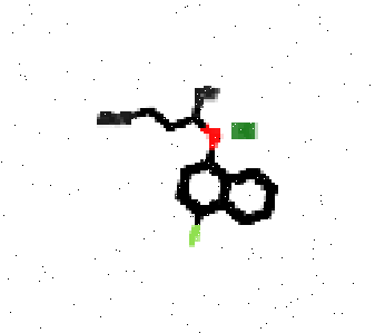 CCC[C@H](CCNC)Oc1ccc(F)c2ccccc12.Cl